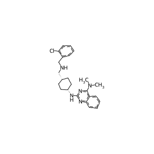 CN(C)c1nc(N[C@H]2CC[C@@H](CNCc3ccccc3Cl)CC2)nc2ccccc12